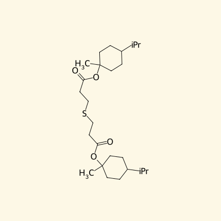 CC(C)C1CCC(C)(OC(=O)CCSCCC(=O)OC2(C)CCC(C(C)C)CC2)CC1